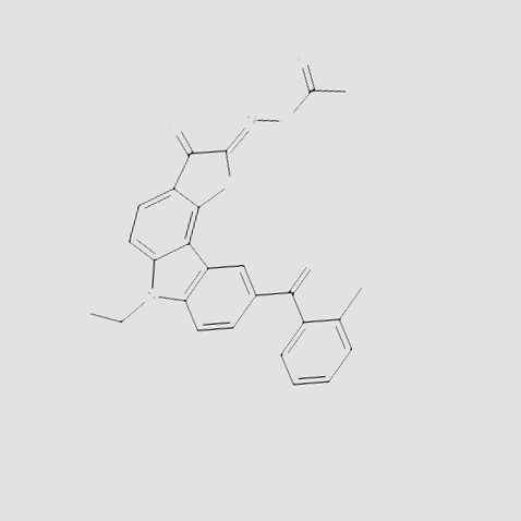 CCn1c2ccc(C(=O)c3ccccc3C)cc2c2c3c(ccc21)C(=O)/C(=N/OC(C)=O)S3